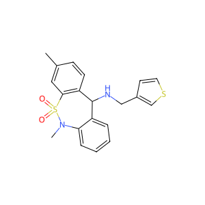 Cc1ccc2c(c1)S(=O)(=O)N(C)c1ccccc1C2NCc1ccsc1